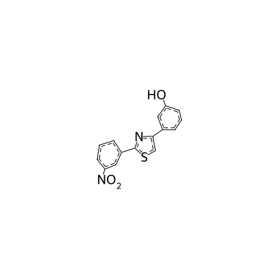 O=[N+]([O-])c1cccc(-c2nc(-c3cccc(O)c3)cs2)c1